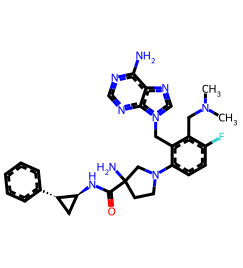 CN(C)Cc1c(F)ccc(N2CCC(N)(C(=O)N[C@H]3C[C@@H]3c3ccccc3)C2)c1Cn1cnc2c(N)ncnc21